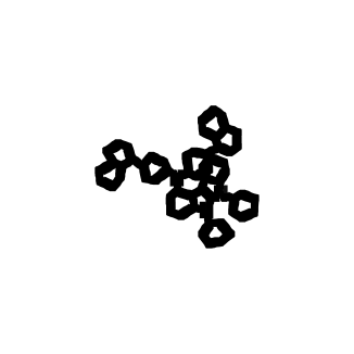 c1ccc(-n2c3ccccc3c3c4c(N(c5ccc(-c6cccc7ccccc67)cc5)c5ccc(-c6cccc7ccccc67)cc5)cccc4n(-c4ccccc4)c32)cc1